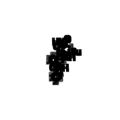 C[C@@H]1C(=O)NC(=O)[C@H]1C(=O)[C@@H](NC(=O)C[C@H](NC(=O)c1ccccn1)c1ccccc1)C(C)(C)C